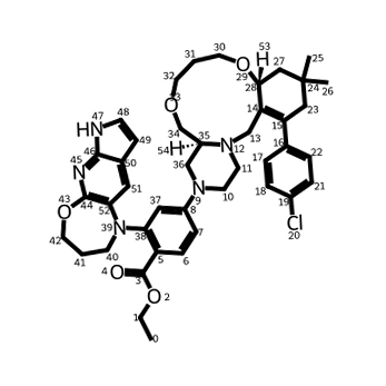 CCOC(=O)c1ccc(N2CCN3CC4=C(c5ccc(Cl)cc5)CC(C)(C)C[C@H]4OCCCOC[C@@H]3C2)cc1N1CCCOc2nc3[nH]ccc3cc21